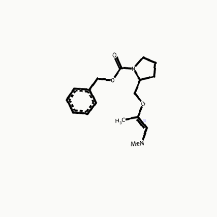 CN/C=C(\C)OCC1CCCN1C(=O)OCc1ccccc1